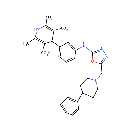 CC1=C(C(=O)O)C(c2cccc(Nc3nnc(CN4CCC(c5ccccc5)CC4)o3)c2)C(C(=O)O)=C(C)N1